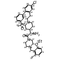 CCOc1cccc(F)c1CN1CCN(C(=O)[C@H](N)C2CCN(CCc3cc(Cl)ccc3-c3cccc(P(C)(C)=O)c3)CC2)CC1